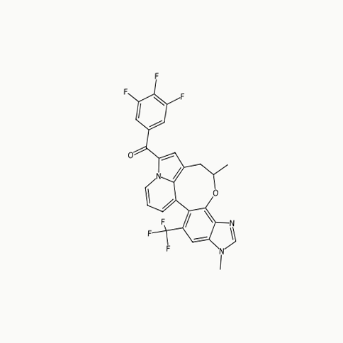 CC1Cc2cc(C(=O)c3cc(F)c(F)c(F)c3)n3cccc(c23)-c2c(C(F)(F)F)cc3c(ncn3C)c2O1